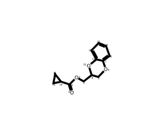 O=C(OCC1COc2ccccc2O1)C1CC1